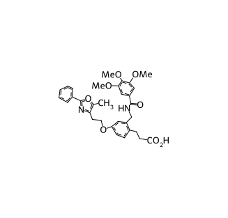 COc1cc(C(=O)NCc2cc(OCCc3nc(-c4ccccc4)oc3C)ccc2CCC(=O)O)cc(OC)c1OC